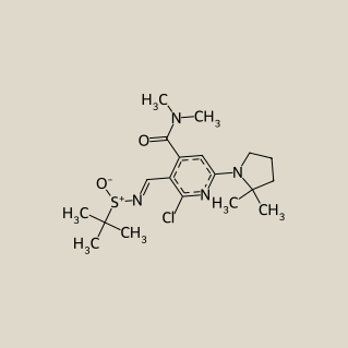 CN(C)C(=O)c1cc(N2CCCC2(C)C)nc(Cl)c1/C=N/[S+]([O-])C(C)(C)C